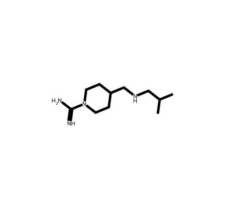 CC(C)CNCC1CCN(C(=N)N)CC1